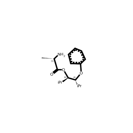 CC(C)[C@@H](OC(=O)[C@H](C)N)[C@H](Oc1ccccc1)C(C)C